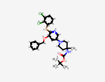 CC1(NC(=O)OC(C)(C)C)CCN(c2cnc(Sc3cccc(Cl)c3Cl)c(OCc3ccccc3)c2)CC1